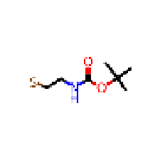 CC(C)(C)OC(=O)NCC[S]